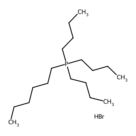 Br.CCCCCC[P](CCCC)(CCCC)CCCC